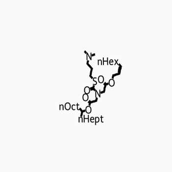 CCCCCC/C=C\COC(=O)CN(CC(=O)OC(CCCCCCC)CCCCCCCC)C(=O)SCCCN(C)C